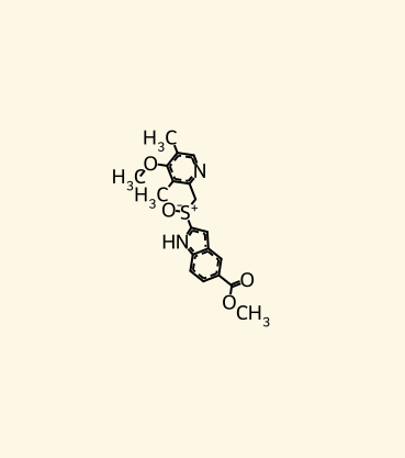 COC(=O)c1ccc2[nH]c([S+]([O-])Cc3ncc(C)c(OC)c3C)cc2c1